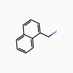 I[CH]c1cccc2ccccc12